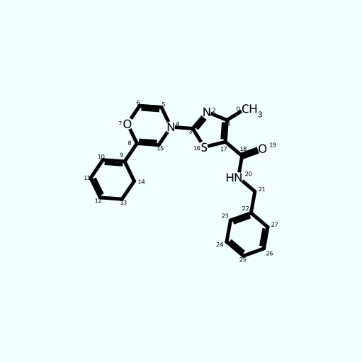 Cc1nc(N2C=COC(C3=CC=CCC3)=C2)sc1C(=O)NCc1ccccc1